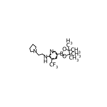 CC1(C)OB(c2cnc(NCCN3CCCC3)c(C(F)(F)F)c2)OC1(C)C